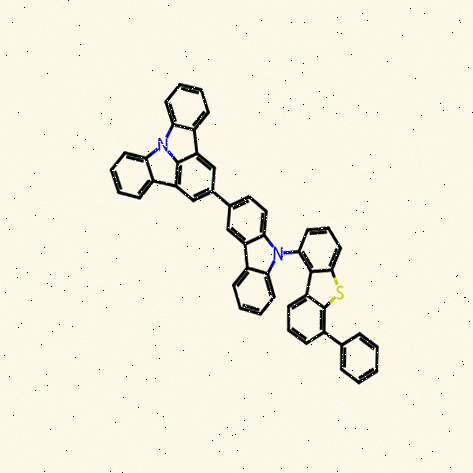 c1ccc(-c2cccc3c2sc2cccc(-n4c5ccccc5c5cc(-c6cc7c8ccccc8n8c9ccccc9c(c6)c78)ccc54)c23)cc1